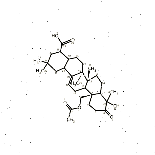 CC(=O)OC[C@]12CCC(=O)C(C)(C)C1CC[C@]1(C)C2CC=C2C3CC(C)(C)C[C@@H](C(=O)O)C3CC[C@]21C